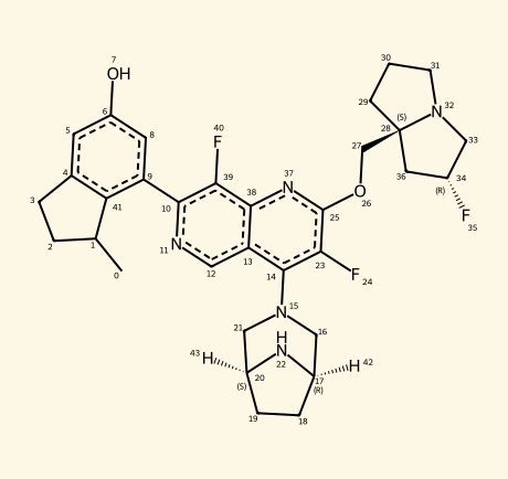 CC1CCc2cc(O)cc(-c3ncc4c(N5C[C@H]6CC[C@@H](C5)N6)c(F)c(OC[C@@]56CCCN5C[C@H](F)C6)nc4c3F)c21